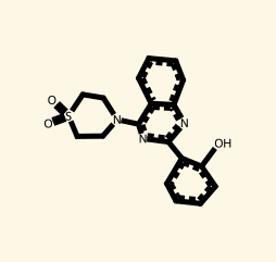 O=S1(=O)CCN(c2nc(-c3ccccc3O)nc3ccccc23)CC1